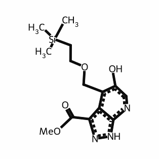 COC(=O)c1n[nH]c2ncc(O)c(COCC[Si](C)(C)C)c12